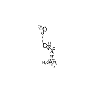 CCc1ccccc1OCCCCc1ccc2nc(C(=O)N3CCN(C(=O)OC(C)(C)C)CC3)[nH]c2c1